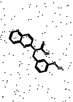 COc1cccc(CN(C(O)=S)c2ccc3ncccc3n2)c1